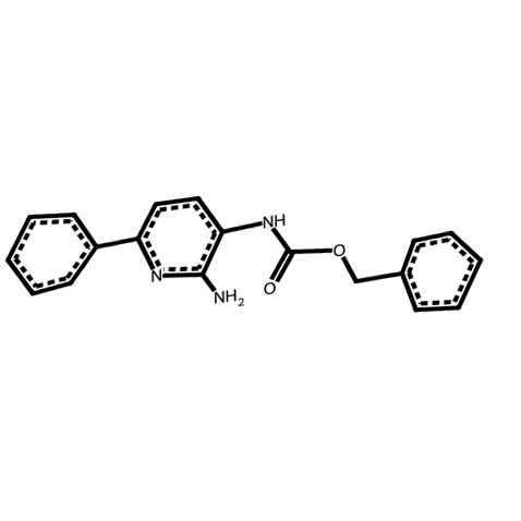 Nc1nc(-c2ccccc2)ccc1NC(=O)OCc1ccccc1